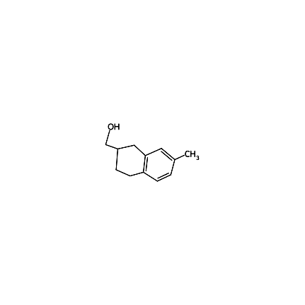 Cc1ccc2c(c1)CC(CO)CC2